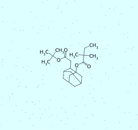 CCC(C)(C)C(=O)OC12CC3CC(CC(C3)C1CC(=O)OC(C)(C)C)C2